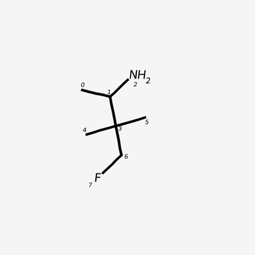 CC(N)C(C)(C)CF